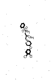 O=S(=O)(NC[C@@H](O)CN1CCC(Oc2ccc(Cl)c(Cl)c2)CC1)c1ccccc1